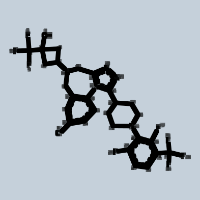 OC1(C(F)(F)F)CC(N2Cc3cc(Cl)ccc3-n3c(nnc3C3CCN(c4c(F)ccc(C(F)(F)F)c4F)CC3)C2)C1